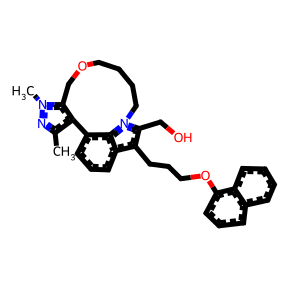 Cc1nn(C)c2c1-c1cccc3c(CCCOc4cccc5ccccc45)c(CO)n(c13)CCCCOC2